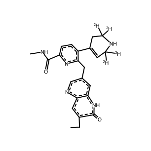 [2H]C1([2H])C=C(c2ccc(C(=O)NC)nc2Cc2cnc3cc(CC)c(=O)[nH]c3c2)CC([2H])([2H])N1